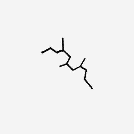 C[CH]CC(C)CC(C)CC(C)CCC